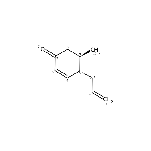 C=CC[C@@H]1C=CC(=O)C[C@H]1C